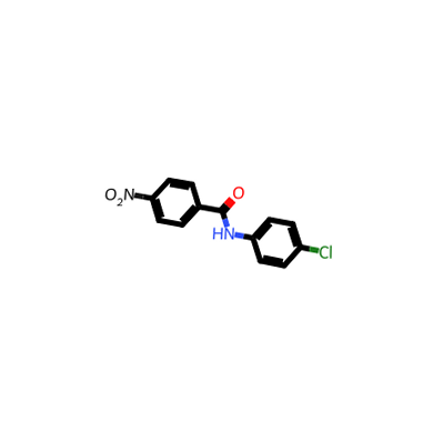 O=C(Nc1ccc(Cl)cc1)c1ccc([N+](=O)[O-])cc1